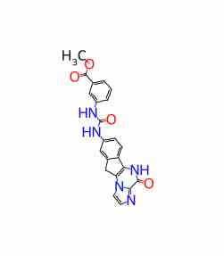 COC(=O)c1cccc(NC(=O)Nc2ccc3c(c2)Cc2c-3[nH]c(=O)c3nccn23)c1